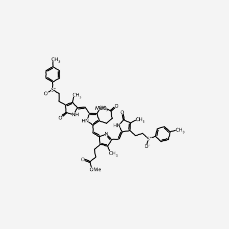 COC(=O)CCC1=C(C)C(/C=C2\NC(=O)C(C)=C2CC[S+]([O-])c2ccc(C)cc2)=NC/1=C\c1[nH]c(/C=C2\NC(=O)C(CC[S+]([O-])c3ccc(C)cc3)=C2C)c(C)c1CCC(=O)OC